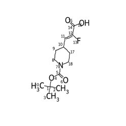 CC(C)(C)OC(=O)N1CCC(C=C(F)C(=O)O)CC1